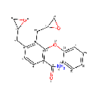 NC(=O)c1ccc(CC2CO2)c(CC2CO2)c1Oc1ccccc1